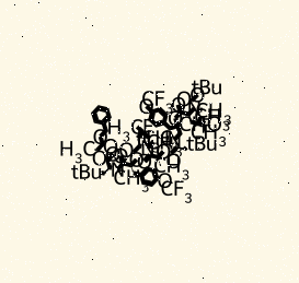 C[C@@H](OC(=O)[C@H](CC(C)(C)C)N(C)C(=O)[C@@H](Cc1ccc(OC(F)(F)F)cc1)OC(=O)[C@H](CC(C)(C)F)N(C)C(=O)[C@@H](C)OC(=O)[C@H](CC(C)(C)C)N(C)C[C@](C=O)(Cc1ccc(OC(F)(F)F)cc1)OC(=O)[C@H](CC(C)(C)F)N(C)C(=O)OC(C)(C)C)C(=O)OCc1ccccc1